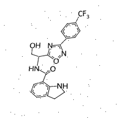 O=C(NC(CO)c1nc(-c2ccc(C(F)(F)F)cc2)no1)c1cccc2c1NCC2